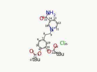 CC(C)(C)C(=O)Oc1ccc(CC[n+]2cccc(C(N)=O)c2)cc1OC(=O)C(C)(C)C.[Cl-]